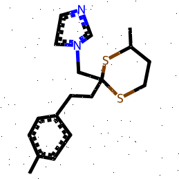 Cc1ccc(CCC2(Cn3ccnc3)SCCC(C)S2)cc1